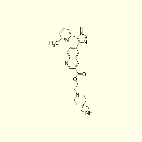 Cc1cccc(-c2[nH]cnc2-c2ccc3ncc(C(=O)OCCN4CCC5(CC4)CNC5)cc3c2)n1